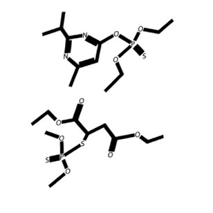 CCOC(=O)CC(SP(=S)(OC)OC)C(=O)OCC.CCOP(=S)(OCC)Oc1cc(C)nc(C(C)C)n1